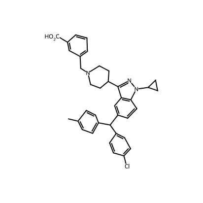 Cc1ccc(C(c2ccc(Cl)cc2)c2ccc3c(c2)c(C2CCN(Cc4cccc(C(=O)O)c4)CC2)nn3C2CC2)cc1